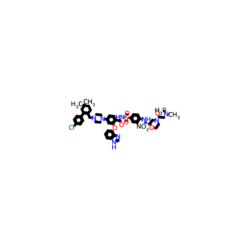 CN(C)CC(=O)N1CCO[C@H](CNc2ccc(S(=O)(=O)NC(=O)c3ccc(N4CCN(CC5=C(c6ccc(Cl)cc6)CC(C)(C)CC5)CC4)cc3Oc3cccc4[nH]cnc34)cc2[N+](=O)[O-])C1